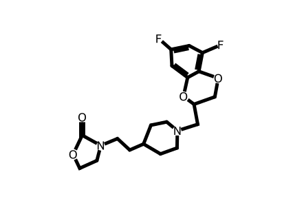 O=C1OCCN1CCC1CCN(CC2COc3c(F)cc(F)cc3O2)CC1